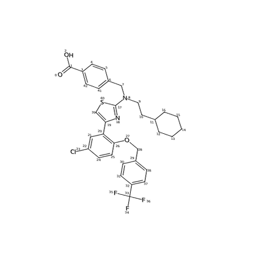 O=C(O)c1ccc(CN(CCC2CCCCC2)c2nc(-c3cc(Cl)ccc3OCc3ccc(C(F)(F)F)cc3)cs2)cc1